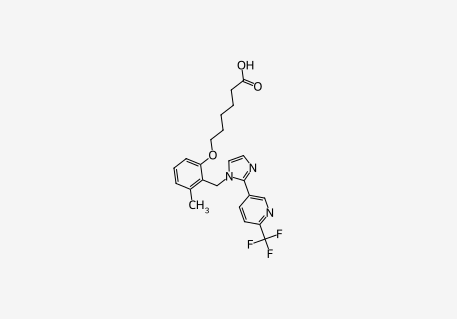 Cc1cccc(OCCCCCC(=O)O)c1Cn1ccnc1-c1ccc(C(F)(F)F)nc1